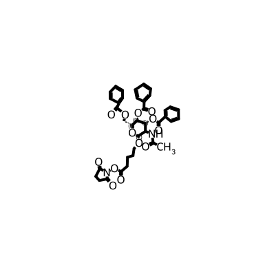 CC(=O)NC1[C@H](OCCCCC(=O)ON2C(=O)CCC2=O)O[C@H](COC(=O)c2ccccc2)[C@H](OC(=O)c2ccccc2)[C@@H]1OC(=O)c1ccccc1